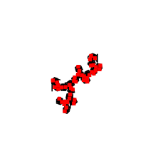 c1ccc(-c2cc(-c3ccc(-c4ccc5c(c4)c4ccc(-c6ccc7c(c6)c6ccccc6n7-c6cc(-c7ccccc7)cc(-c7ccccc7)n6)cc4n5-c4ccc(-c5ccnc6c5sc5ccccc56)cc4)cc3)nc(-n3c4ccccc4c4cc(-c5ccc6c7ccccc7n(-c7ccc8sc9cccnc9c8c7)c6c5)ccc43)c2)cc1